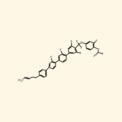 C/C=C/CCc1ccc(-c2ccc(-c3ccc(-c4cc(F)c(C(F)(F)Oc5ccc(OC(F)F)c(F)c5)c(F)c4)c(F)c3)c(F)c2)cc1